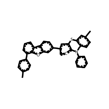 Cc1ccc(-c2cccc3c2oc2cc(-c4ccc5c(c4)Sc4cc(C)ccc4N5c4ccccc4)ccc23)cc1